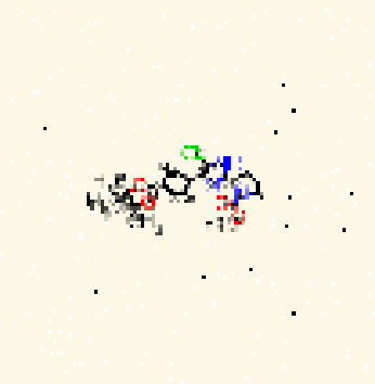 CC(C)(C)OC(=O)N1CCC[C@H]1c1nc(-c2ccc(B3OC(C)(C)C(C)(C)O3)cc2)c(Cl)[nH]1